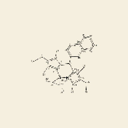 CCC1=C(C)C2=C(c3ccc4ccccc4c3)c3c(C)c(CC)c(C)n3S3([C@H](C)[C@@H]3C)[N+]2=C1C